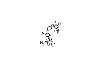 CC(C)(C)OC(=O)c1cc(C2CC2)c(CN2CCC(Oc3cc(C(F)(F)F)cc(Cl)c3F)CC2)cc1F